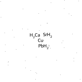 [CaH2].[Cu].[PbH2].[SrH2]